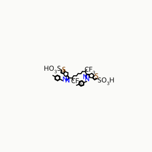 Cc1ccc(Cn2nc(C(CCCCCC(c3nn(Cc4ccc(C)cc4)c4c3Cc3sc(S(=O)(=O)O)cc3-4)C(F)(F)F)C(F)(F)F)c3c2-c2cc(S(=O)(=O)O)sc2C3)cc1